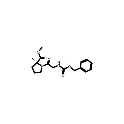 COC(=O)[C@]1(C)CCCN1C(=O)CNC(=O)OCc1ccccc1